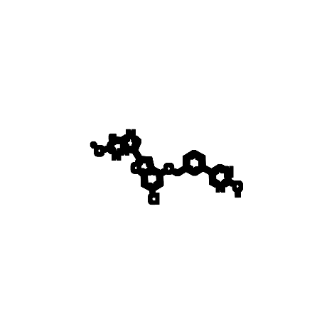 COc1ncc(-c2cccc(COc3cc(Cl)cc4oc(-c5cnc6sc(OC)nn56)cc34)c2)cn1